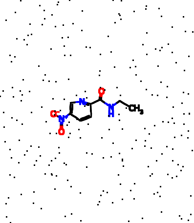 CCNC(=O)c1ccc([N+](=O)[O-])cn1